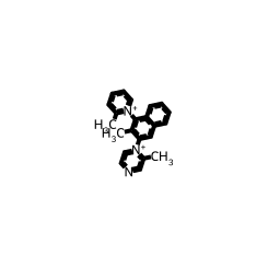 Cc1c(-[n+]2ccncc2C)cc2ccccc2c1-[n+]1ccccc1C